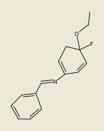 CCOC1(F)C=CC(N=Cc2ccccc2)=CC1